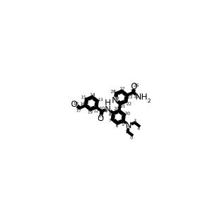 CCN(CC)c1ccc(NC(=O)c2cccc(C=O)c2)c(-c2cc(C(N)=O)ccn2)c1